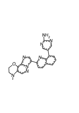 CN1CCOc2c1cnn1c(-c3ccc4cccc(-c5cnc(N)nc5)c4n3)cnc21